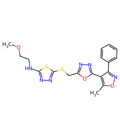 COCCNc1nnc(SCc2nnc(-c3c(-c4ccccc4)noc3C)o2)s1